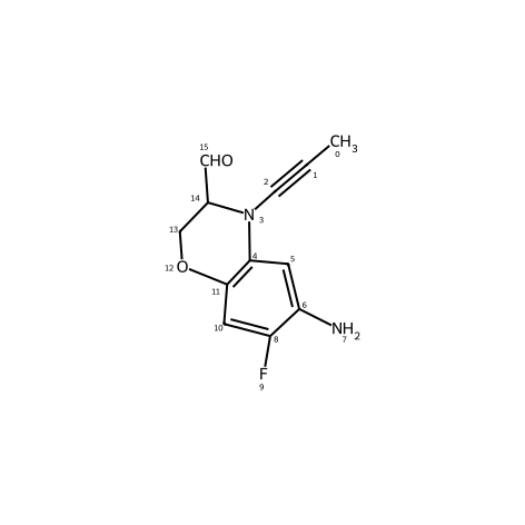 CC#CN1c2cc(N)c(F)cc2OCC1C=O